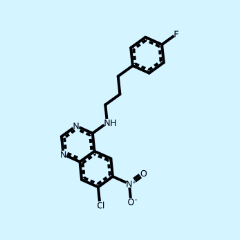 O=[N+]([O-])c1cc2c(NCCCc3ccc(F)cc3)ncnc2cc1Cl